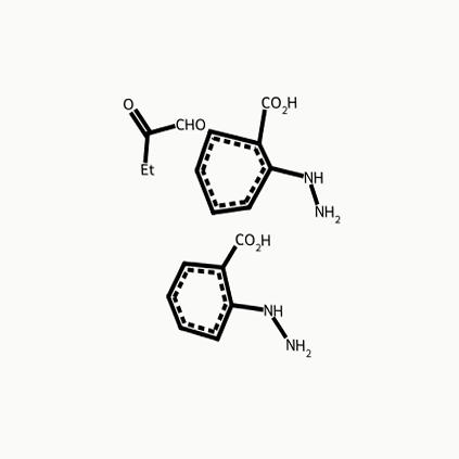 CCC(=O)C=O.NNc1ccccc1C(=O)O.NNc1ccccc1C(=O)O